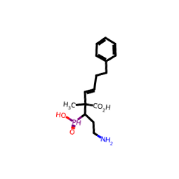 CC(C=CCCc1ccccc1)(C(=O)O)C(CCN)[PH](=O)O